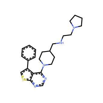 c1ccc(-c2csc3ncnc(N4CCC(CNCCN5CCCC5)CC4)c23)cc1